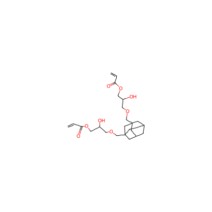 C=CC(=O)OCC(O)COCC12CC3CC(C1)CC(COCC(O)COC(=O)C=C)(C3)C2